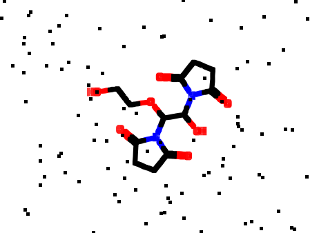 O=C1CCC(=O)N1C(O)C(OCCO)N1C(=O)CCC1=O